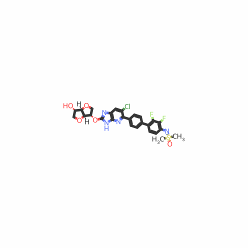 CS(C)(=O)=Nc1ccc(-c2ccc(-c3nc4[nH]c(O[C@@H]5CO[C@H]6[C@@H]5OC[C@H]6O)nc4cc3Cl)cc2)c(F)c1F